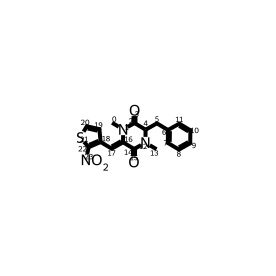 CN1C(=O)C(Cc2ccccc2)N(C)C(=O)/C1=C/c1ccsc1[N+](=O)[O-]